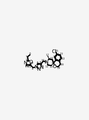 CCc1nnc(Cn2cc(CN3CC[C@]4(C[C@@H]3C)OCCc3ccc(Cl)cc34)nn2)o1